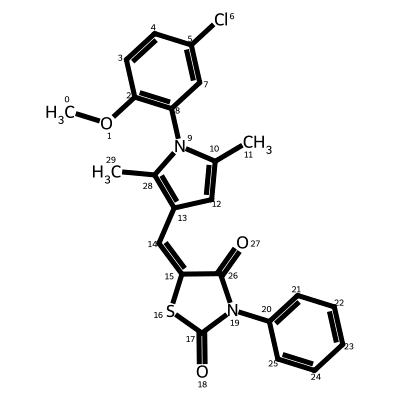 COc1ccc(Cl)cc1-n1c(C)cc(C=C2SC(=O)N(c3ccccc3)C2=O)c1C